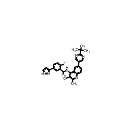 Cc1nc2ccc(-c3cnc(C(C)(C)O)nc3)cc2c(NC(C)c2cc(-c3cc[nH]n3)ccc2F)c1Cl